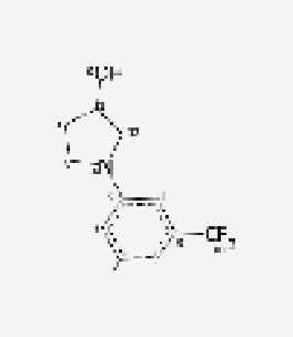 OC1CCN(c2cccc(C(F)(F)F)c2)C1